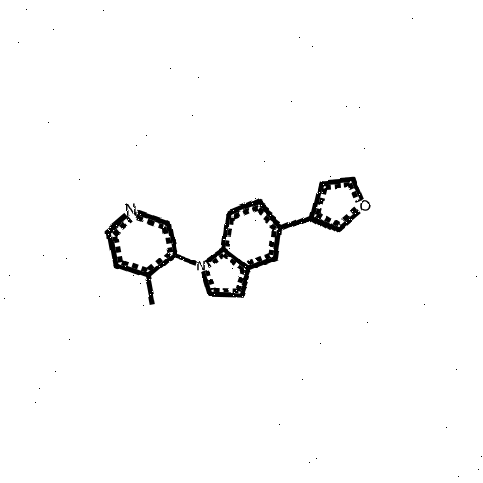 Cc1ccncc1-n1ccc2cc(-c3ccoc3)ccc21